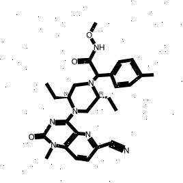 CC[C@H]1CN(C(C(=O)NOC)c2ccc(C)cc2)[C@H](CC)CN1c1nc(=O)n(C)c2ccc(C#N)nc12